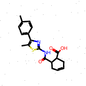 Cc1ccc(-c2nc(NC(=O)C3CC=CCC3C(=O)O)sc2C)cc1